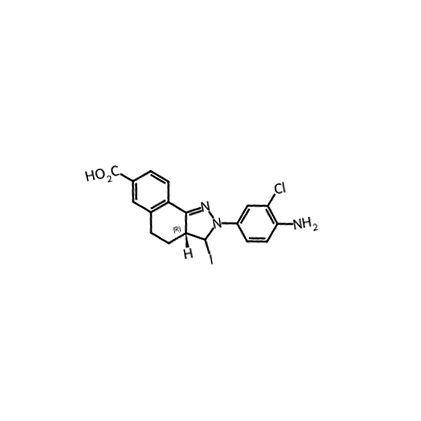 Nc1ccc(N2N=C3c4ccc(C(=O)O)cc4CC[C@H]3C2I)cc1Cl